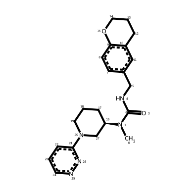 CN(C(=O)NCc1ccc2c(c1)CCCO2)[C@@H]1CCCN(c2cccnn2)C1